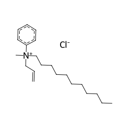 C=CC[N+](C)(CCCCCCCCCCC)c1ccccc1.[Cl-]